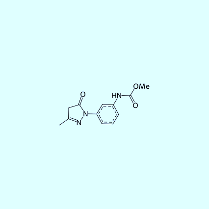 COC(=O)Nc1cccc(N2N=C(C)CC2=O)c1